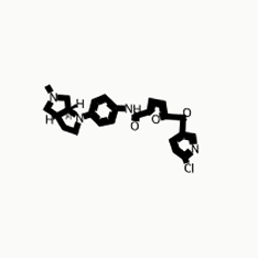 CN1C[C@H]2CCN(c3ccc(NC(=O)c4ccc(C(=O)c5ccc(Cl)nc5)o4)cc3)[C@H]2C1